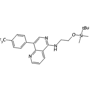 CC(C)(C)[Si](C)(C)OCCNc1ncc(-c2ccc(C(F)(F)F)cc2)c2ncccc12